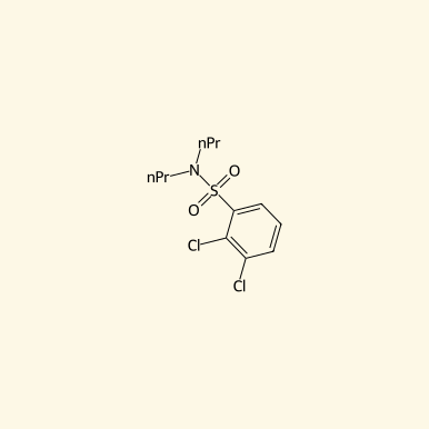 CCCN(CCC)S(=O)(=O)c1cccc(Cl)c1Cl